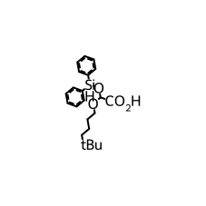 CC(C)(C)CCCCOC(O[SiH](c1ccccc1)c1ccccc1)C(=O)O